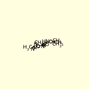 COc1cc(-c2cn(CC(=O)NC3CCC(C(C)(C)C)CC3)nn2)ccc1-n1cnc(C)c1